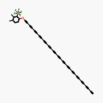 C#CC#CC#CC#CC#CC#CC#CC#CC#CC#CC#CC#CC#CC#CC#COc1ccc(C)c(C)c1S(F)(F)(F)(F)F